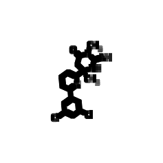 CN1C(=N)N[C@](C)(c2cccc(-c3cc(Cl)cc(Cl)c3)n2)CC1=O